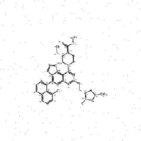 CO[C@@H]1C[C@@H](COc2nc(N3CCN(C(=O)OC(C)(C)C)[C@@H](CC#N)C3)c3c(cc(-c4cccc5cccc(Cl)c45)c4ccoc43)n2)N(C)C1